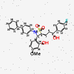 COc1ccc([C@@H]2[C@H](CC[C@@H](O)c3ccc(F)cc3)S(=O)(=O)N2c2ccc(-c3ccccc3)cc2)c(O)c1